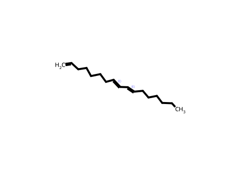 C=CCCCCC/C=C/C=C/CCCCCC